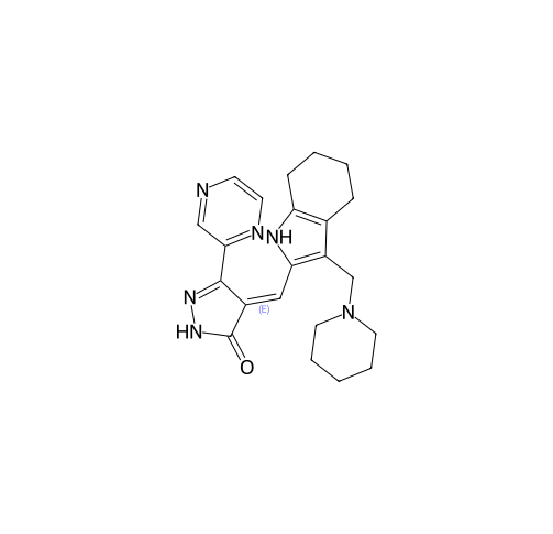 O=C1NN=C(c2cnccn2)/C1=C\c1[nH]c2c(c1CN1CCCCC1)CCCC2